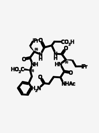 CC(=O)NC(CCC(N)=O)C(=O)N[C@@H](CCC(C)C)C(=O)NC(CC(=O)O)C(=O)N[C@@H](CC(C)C)C(=O)N[C@@H](Cc1ccccc1)C(=O)O